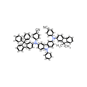 CC1(C)c2ccccc2-c2ccc(N(c3ccc(C#N)cc3)c3ccc4c(c3)c3cc(N(c5ccc(C#N)cc5)c5ccc6c(c5)C(c5ccccc5)(c5ccccc5)c5ccccc5-6)ccc3n4-c3ccccc3)cc21